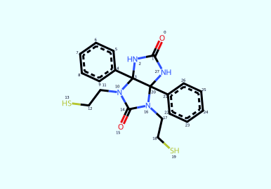 O=C1NC2(c3ccccc3)N(CCS)C(=O)N(CCS)C2(c2ccccc2)N1